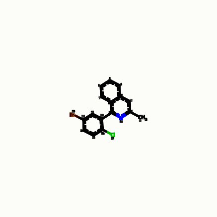 Cc1cc2ccccc2c(-c2cc(Br)ccc2Cl)n1